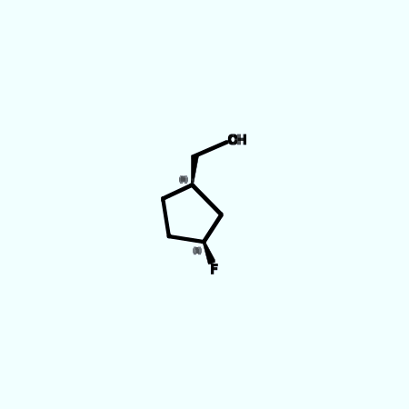 OC[C@@H]1CC[C@H](F)C1